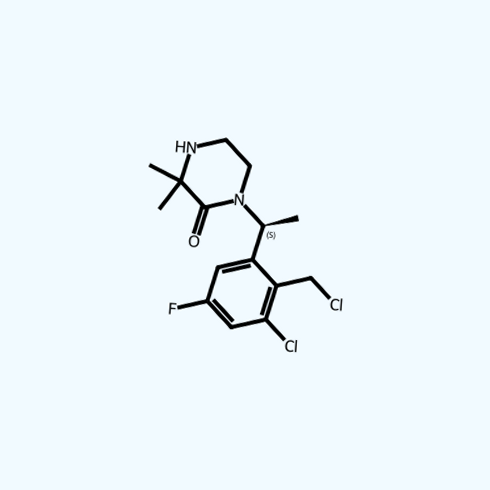 C[C@@H](c1cc(F)cc(Cl)c1CCl)N1CCNC(C)(C)C1=O